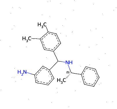 Cc1ccc(C(N[C@@H](C)c2ccccc2)c2cccc(N)c2)cc1C